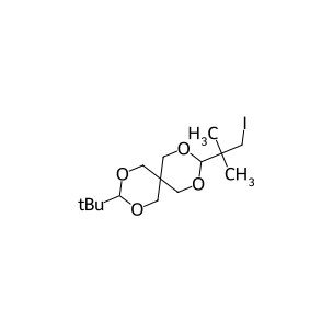 CC(C)(C)C1OCC2(CO1)COC(C(C)(C)CI)OC2